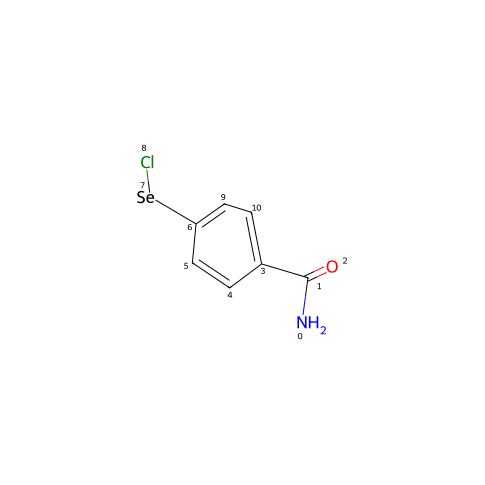 NC(=O)c1ccc([Se]Cl)cc1